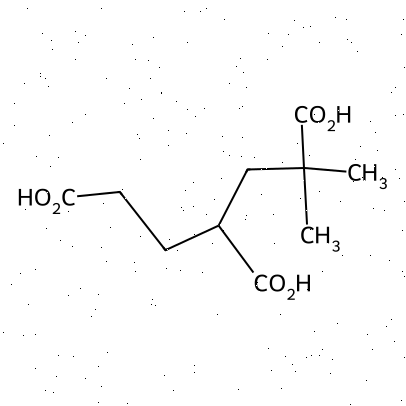 CC(C)(CC(CCC(=O)O)C(=O)O)C(=O)O